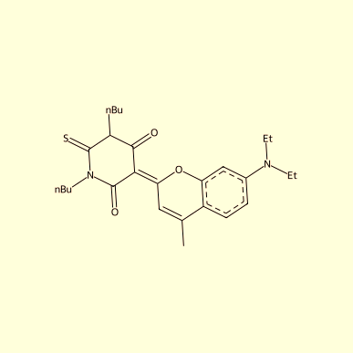 CCCCC1C(=O)/C(=C2/C=C(C)c3ccc(N(CC)CC)cc3O2)C(=O)N(CCCC)C1=S